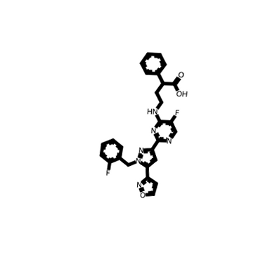 O=C(O)C(CCNc1nc(-c2cc(-c3ccon3)n(Cc3ccccc3F)n2)ncc1F)c1ccccc1